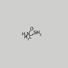 C[SiH3].N[O]